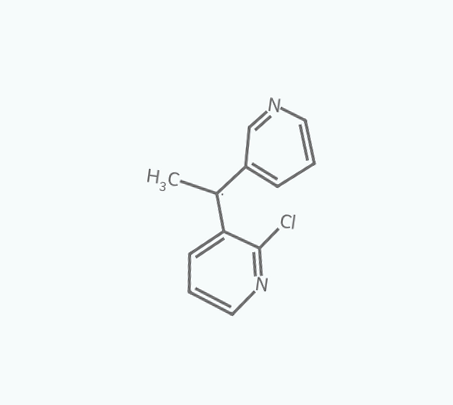 C[C](c1cccnc1)c1cccnc1Cl